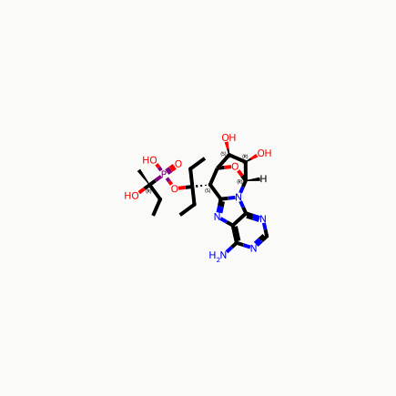 CCC(CC)(OP(=O)(O)[C@@](C)(O)CC)[C@H]1c2nc3c(N)ncnc3n2[C@@H]2OC1[C@@H](O)[C@H]2O